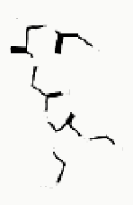 CCC(C)[C@H](NC(=O)CN)C(=O)NCC(=N)N[C@@H](CCSC)C(=O)NCO